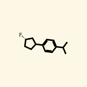 CC(C)c1ccc(C2CC[C@H](F)C2)cc1